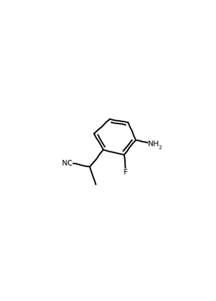 CC(C#N)c1cccc(N)c1F